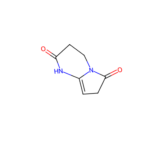 O=C1CCN2C(=O)CC=C2N1